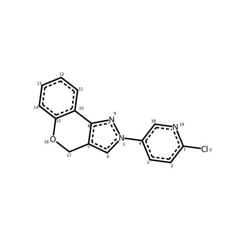 Clc1ccc(-n2cc3c(n2)-c2ccccc2OC3)cn1